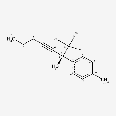 CCCC#C[C@@](O)(c1ccc(C)cc1)C(F)(F)F